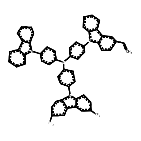 C=Cc1ccc2c(c1)c1ccccc1n2-c1ccc(N(c2ccc(-n3c4ccccc4c4ccccc43)cc2)c2ccc(-n3c4ccc(C(F)(F)F)cc4c4cc(C(F)(F)F)ccc43)cc2)cc1